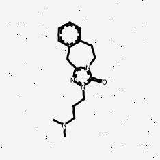 CN(C)CCCn1nc2n(c1=O)CCc1ccccc1C2